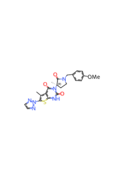 COc1ccc(CN2CC[C@@](C)(n3c(=O)[nH]c4sc(-n5nccn5)c(C)c4c3=O)C2=O)cc1